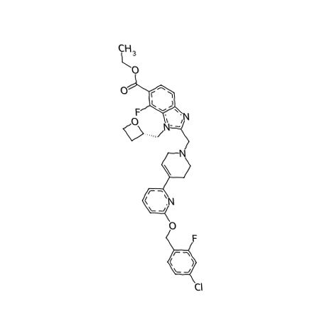 CCOC(=O)c1ccc2nc(CN3CC=C(c4cccc(OCc5ccc(Cl)cc5F)n4)CC3)n(C[C@@H]3CCO3)c2c1F